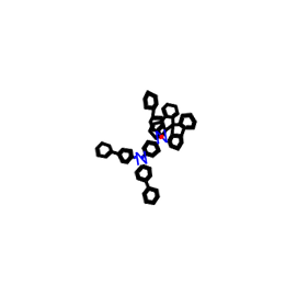 C1=CCCC(c2ccc(N(c3ccc(-c4ccccc4)cc3)c3ccc(N(C4=CC=C(c5ccccc5)CC4)c4cccc5c4C4(C6=CCCC=C6C6C=CC=CC64)c4ccccc4-5)cc3)cc2)=C1